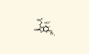 C[S+]([O-])CCn1c(=N)sc2cc(OC(F)(F)F)ccc21.Cl